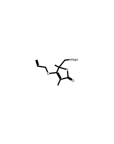 C=CCOC1=C(C)C(=O)SC1(C)CCCCCCCC